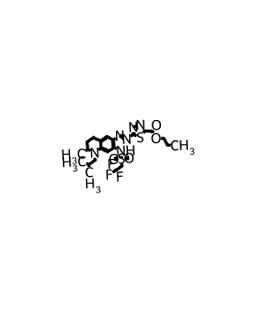 CCCOC(=O)c1nnc(N=Nc2cc3c(cc2NS(=O)(=O)CC(F)(F)F)N(CC(C)C)C(C)CC3)s1